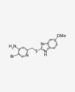 COc1ccc2[nH]c(SCc3cc(N)c(Br)cn3)nc2c1